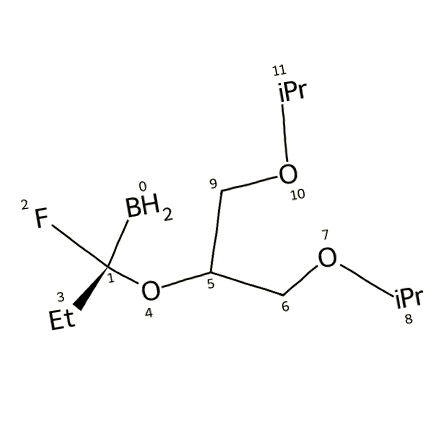 B[C@](F)(CC)OC(COC(C)C)COC(C)C